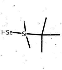 CC(C)(C)[Si](C)(C)[SeH]